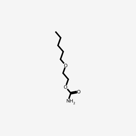 CCCCCOCCOC(N)=O